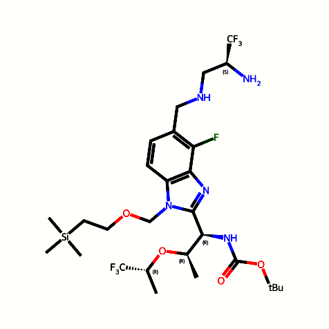 C[C@@H](O[C@H](C)C(F)(F)F)[C@H](NC(=O)OC(C)(C)C)c1nc2c(F)c(CNC[C@H](N)C(F)(F)F)ccc2n1COCC[Si](C)(C)C